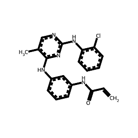 C=CC(=O)Nc1cccc(Nc2nc(Nc3ccccc3Cl)ncc2C)c1